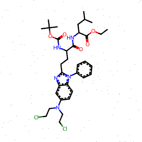 CCOC(=O)C(CC(C)C)NC(=O)C(CCc1nc2cc(N(CCCl)CCCl)ccc2n1-c1ccccc1)NC(=O)OC(C)(C)C